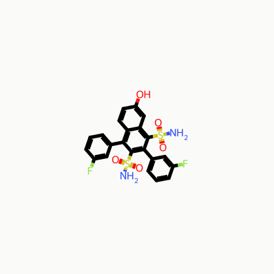 NS(=O)(=O)c1c(-c2cccc(F)c2)c(S(N)(=O)=O)c2cc(O)ccc2c1-c1cccc(F)c1